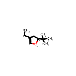 CCC1=COC(C(C)(C)C)C1